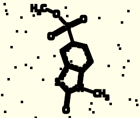 COS(=O)(=O)c1ccc2c(c1)sc(=O)n2C